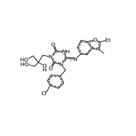 CCc1oc2ccc(/N=c3\[nH]c(=O)n(CC(O)(CO)CO)c(=O)n3Cc3ccc(Cl)cc3)cc2c1C